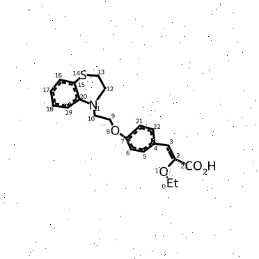 CCO/C(=C\c1ccc(OCCN2CCSc3ccccc32)cc1)C(=O)O